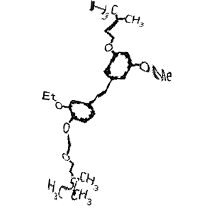 CCOc1cc(/C=C/c2cc(OC)cc(OCC=C(C)C)c2)ccc1OCOCC[Si](C)(C)C